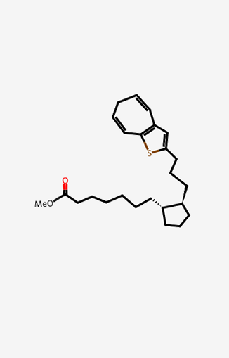 COC(=O)CCCCCC[C@H]1CCC[C@@H]1CCCc1cc2c(s1)C=CCC=C2